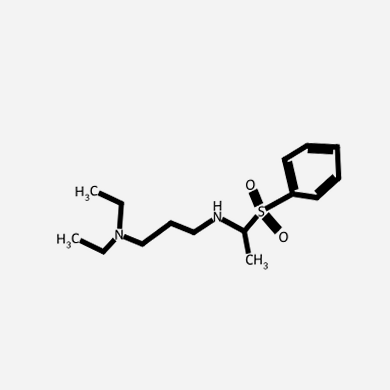 CCN(CC)CCCNC(C)S(=O)(=O)c1ccccc1